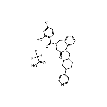 O=C(O)C(F)(F)F.O=C(c1ccc(Cl)cc1O)N1CC(=O)N(CC2CCN(c3ccncc3)CC2)c2ccccc2C1